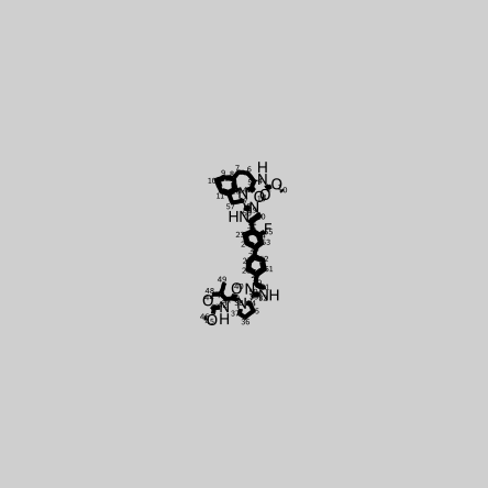 COC(=O)N[C@H]1CCc2cccc3c2N(C1=O)[C@H](c1ncc(-c2ccc(-c4ccc(-c5c[nH]c([C@@H]6CCCN6C(=O)[C@@H](NC(=O)OC)C(C)C)n5)cc4)cc2F)[nH]1)C3